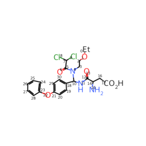 CCOCCN(C(=O)C(Cl)Cl)C(NC(=O)C(N)CC(=O)O)c1ccc(Oc2ccccc2)cc1